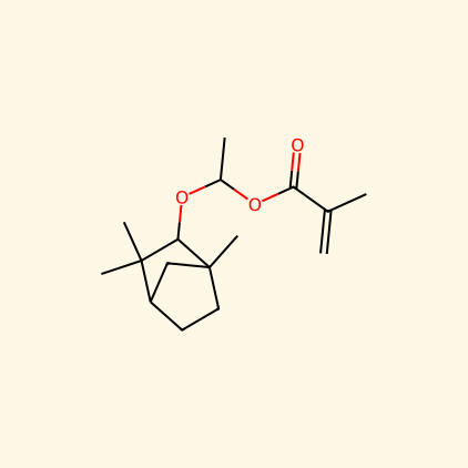 C=C(C)C(=O)OC(C)OC1C2(C)CCC(C2)C1(C)C